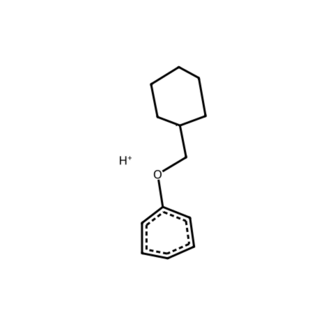 [H+].c1ccc(OC[C]2CCCCC2)cc1